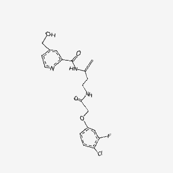 C=C(CCNC(=O)COc1ccc(Cl)c(F)c1)NC(=O)c1cc(CO)ccn1